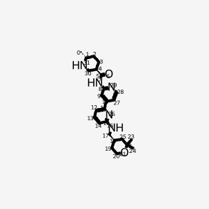 C[C@@H]1CC[C@@H](C(=O)Nc2cc(-c3cccc(NC[C@@H]4CCOC(C)(C)C4)n3)ccn2)CN1